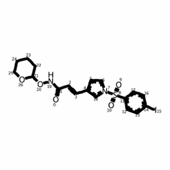 O=C(C=Cc1ccn(S(=O)(=O)c2ccc(I)cc2)c1)NOC1CCCCO1